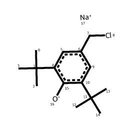 CC(C)(C)c1cc(CCl)cc(C(C)(C)C)c1[O-].[Na+]